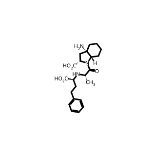 C[C@H](N[C@@H](CCc1ccccc1)C(=O)O)C(=O)N1[C@H]2CCCC[C@]2(N)C[C@H]1C(=O)O